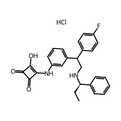 CC[C@@H](NCC(c1ccc(F)cc1)c1cccc(Nc2c(O)c(=O)c2=O)c1)c1ccccc1.Cl